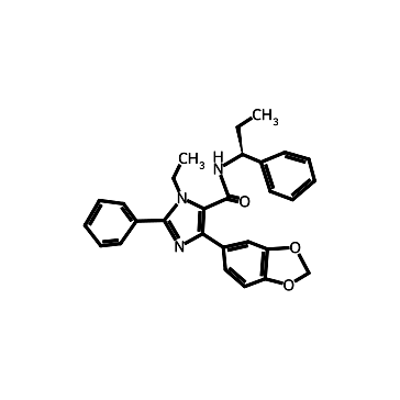 CC[C@H](NC(=O)c1c(-c2ccc3c(c2)OCO3)nc(-c2ccccc2)n1CC)c1ccccc1